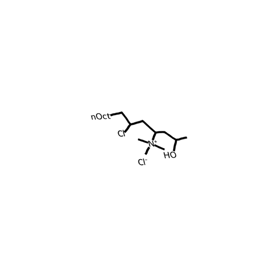 CCCCCCCCCC(Cl)CC(CC(C)O)[N+](C)(C)C.[Cl-]